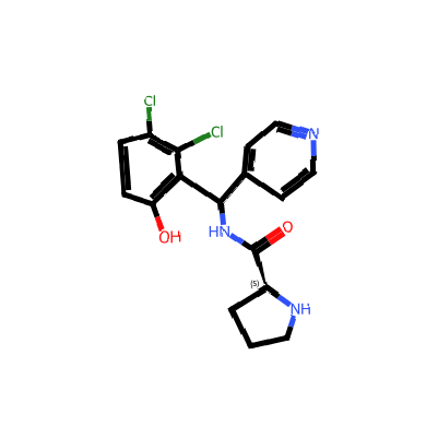 O=C(NC(c1ccncc1)c1c(O)ccc(Cl)c1Cl)[C@@H]1CCCN1